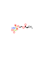 C=CC(=O)OCCOS(=O)(=O)NS(=O)(=O)F